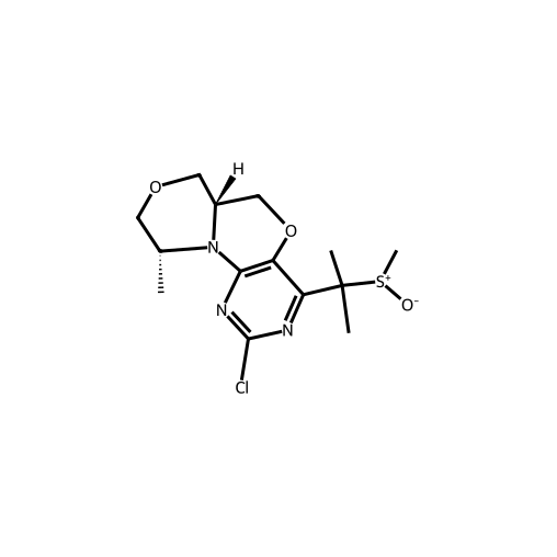 C[C@@H]1COC[C@@H]2COc3c(nc(Cl)nc3C(C)(C)[S+](C)[O-])N21